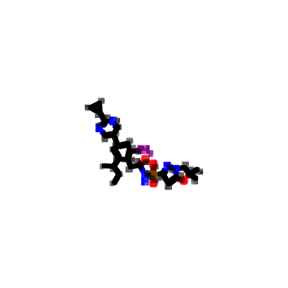 CCC(C)c1cc(-c2cnc(C3CC3)nc2)cc(P)c1CC(=O)NS(=O)(=O)c1cc2n(n1)CC(C)(C)O2